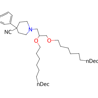 CCCCCCCCCCCCCCCCOCC(CN1CCC(C#N)(c2ccccc2)CC1)OCCCCCCCCCCCCCCCC